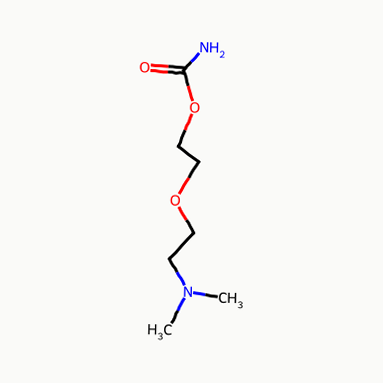 CN(C)CCOCCOC(N)=O